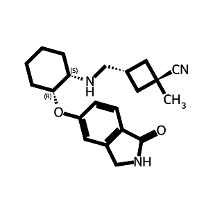 C[C@]1(C#N)C[C@H](CN[C@H]2CCCC[C@H]2Oc2ccc3c(c2)CNC3=O)C1